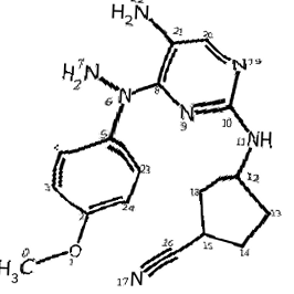 COc1ccc(N(N)c2nc(NC3CCC(C#N)C3)ncc2N)cc1